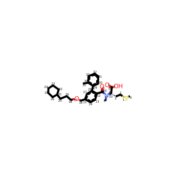 CSCC[C@@H](C(=O)O)N(C)C(=O)c1ccc(COCCCC2CCCCC2)cc1-c1ccccc1C